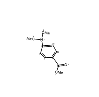 COC(=O)c1ccc(N(OC)OC)cc1